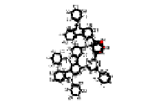 c1ccc(-c2cc(-c3cc4c(c5ccccc5n4-c4ccccc4)c4c3c3cc(-n5c6ccccc6c6ccc7c(c8ccccc8n7-c7ccccc7)c65)ccc3n4-c3ccccc3)nc(-c3ccccc3)n2)cc1